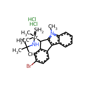 Cl.Cl.Cn1c2c(c3ccccc31)-c1ccc(Br)cc1[CH]2[Zr]([CH3])([CH3])(=[SiH2])[NH]C(C)(C)C